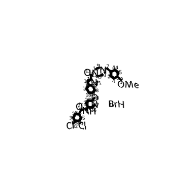 Br.COCc1ccc(CN2CCN(C(=O)c3cc4ccc(Oc5ccc(NC(=O)c6ccc(Cl)c(Cl)c6)cn5)cc4n3C)CC2)cc1